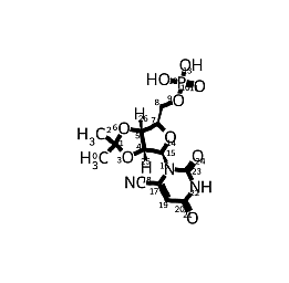 CC1(C)O[C@@H]2[C@H](O1)[C@@H](COP(=O)(O)O)O[C@H]2n1c(C#N)cc(=O)[nH]c1=O